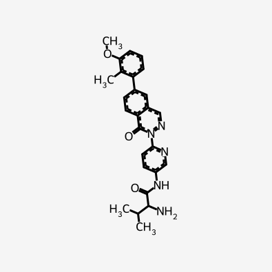 COc1cccc(-c2ccc3c(=O)n(-c4ccc(NC(=O)C(N)C(C)C)cn4)ncc3c2)c1C